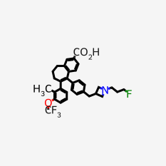 Cc1c(OC(F)(F)F)cccc1C1=C(c2ccc(CC3CN(CCCF)C3)cc2)c2ccc(C(=O)O)cc2CCC1